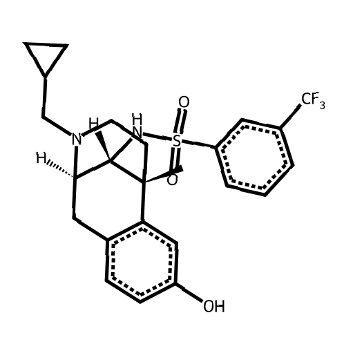 C[C@@]12CCN(CC3CC3)[C@H](Cc3ccc(O)cc31)[C@@H]2NS(=O)(=O)c1cccc(C(F)(F)F)c1